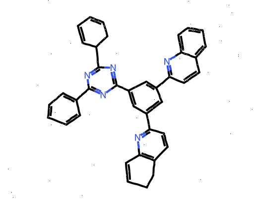 C1=CCC(c2nc(-c3ccccc3)nc(-c3cc(-c4ccc5c(n4)C=CCC5)cc(-c4ccc5ccccc5n4)c3)n2)C=C1